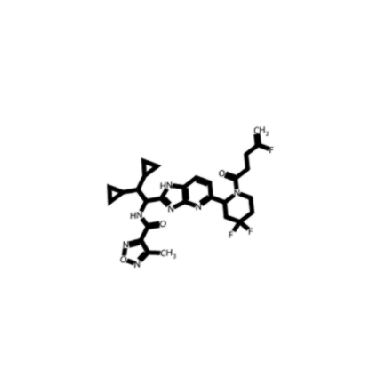 C=C(F)CCC(=O)N1CCC(F)(F)CC1c1ccc2[nH]c(C(NC(=O)c3nonc3C)C(C3CC3)C3CC3)nc2n1